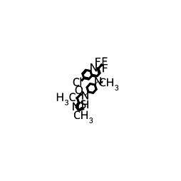 Cc1csc(C(C)C(=O)N[C@H]2CC[C@@H](N(C)c3cc(C(F)(F)F)nc4ccc(Cl)cc34)CC2)n1